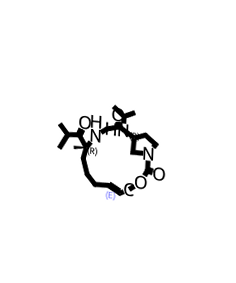 CC(C)N[C@]12CCN(C1)C(=O)OC/C=C/CCC[C@](C)(C(=O)C(C)C)NCC2=O